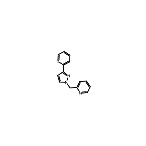 [c]1ccnc(Cn2ccc(-c3ccccn3)n2)c1